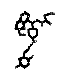 COc1ccc2nccc(C(CNC(=O)OC(C)(C)C)C3CCC(NCC=Cc4cc(F)ccc4F)CC3)c2n1